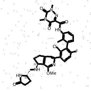 COc1nc(-c2ccc(F)c(-c3cccc(NC(=O)c4nn(C)c(=O)n(C)c4=O)c3C)c2Cl)cc2c1[C@@H](NC[C@@H]1CCC(=O)N1)CC2